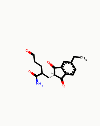 CCc1ccc2c(c1)C(=O)[C@@H](CC(CCC=O)C(N)=O)C2=O